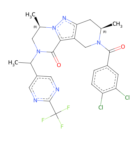 CC(c1cnc(C(F)(F)F)nc1)N1C[C@@H](C)n2nc3c(c2C1=O)CN(C(=O)c1ccc(Cl)c(Cl)c1)[C@H](C)C3